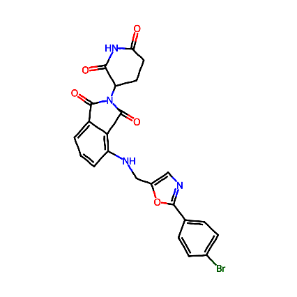 O=C1CCC(N2C(=O)c3cccc(NCc4cnc(-c5ccc(Br)cc5)o4)c3C2=O)C(=O)N1